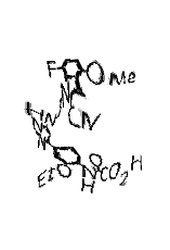 CCOc1cc(-c2cc(NCCn3c(C#N)cc4c(OC)ccc(F)c43)ncn2)ccc1NC(=O)C(=O)O